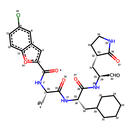 CC(C)[C@H](NC(=O)c1cc2cc(Cl)ccc2o1)C(=O)N[C@@H](CC1CCCCC1)C(=O)N[C@H](C=O)C[C@@H]1CCNC1=O